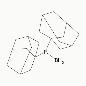 BP(C12CC3CC(CC(C3)C1)C2)C12CC3CC(CC(C3)C1)C2